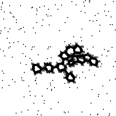 C1=Cc2ccc(-c3cc(-c4cnc(-c5ccccc5)nc4)nc(-c4ccccc4)n3)cc2C2(c3ccccc31)c1ccccc1-c1cc3c(cc12)sc1ccccc13